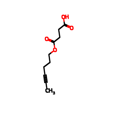 CC#CCCCOC(=O)CCC(=O)O